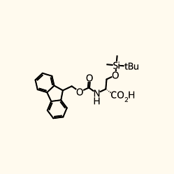 CC(C)(C)[Si](C)(C)OC[C@@H](NC(=O)OCC1c2ccccc2-c2ccccc21)C(=O)O